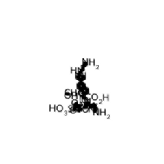 CC(O/N=C(\C(=O)N[C@@H]1C(=O)N(OS(=O)(=O)O)C1(C)C)c1csc(N)n1)(C(=O)O)[C@H]1CCc2cc(-c3cnc(NCCCN)nc3)ccc2O1.O=CO